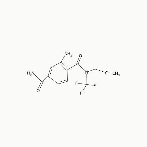 CCCN(C(=O)c1ccc(C(N)=O)cc1N)C(F)(F)F